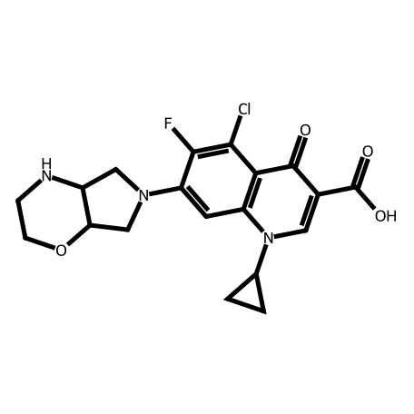 O=C(O)c1cn(C2CC2)c2cc(N3CC4NCCOC4C3)c(F)c(Cl)c2c1=O